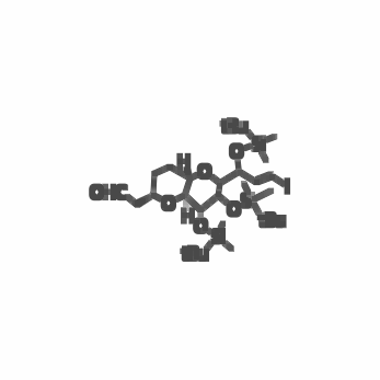 CC(C)(C)[Si](C)(C)OC(/C=C/I)C1O[C@H]2CC[C@H](CC=O)O[C@@H]2C(O[Si](C)(C)C(C)(C)C)C1O[Si](C)(C)C(C)(C)C